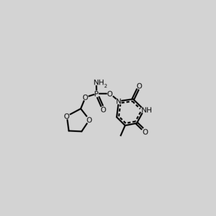 Cc1cn(OP(N)(=O)OC2OCCO2)c(=O)[nH]c1=O